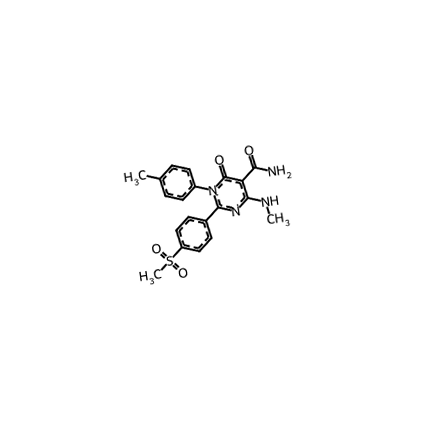 CNc1nc(-c2ccc(S(C)(=O)=O)cc2)n(-c2ccc(C)cc2)c(=O)c1C(N)=O